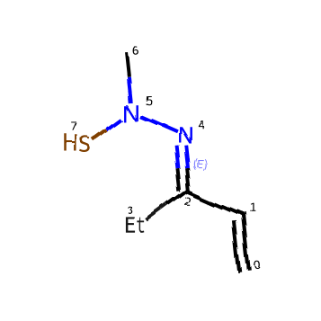 C=C/C(CC)=N/N(C)S